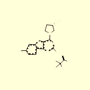 CN[C@@H]1CCN(c2nc(N)nc3c2sc2cc(Br)ccc23)C1.O=C(O)C(F)(F)F